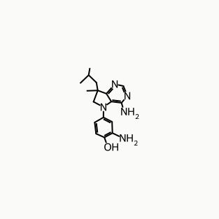 CC(C)CC1(C)CN(c2ccc(O)c(N)c2)c2c(N)ncnc21